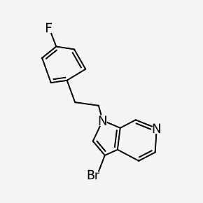 Fc1ccc(CCn2cc(Br)c3ccncc32)cc1